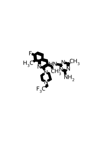 Cc1nc(N)nc(NC(C)c2cc3ccc(F)c(C)c3nc2N2CCN(CC(F)(F)F)CC2)n1